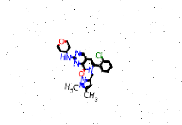 Cc1cc(Cn2c(-c3ccccc3Cl)cc3cnc(NC4CCOCC4)nc3c2=O)nn1C